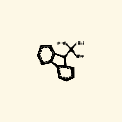 CCCCCCCCCCC(CCCCCCC)(CCCCCCCC)C1c2ccccc2-c2ccccc21